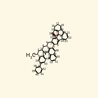 CCCC(CCCc1ccc2c(c1)C13C4=C(CCC=C4c4cccc-2c41)c1ccccc13)N(c1ccc(-c2ccccc2)cc1)c1cccc2ccccc12